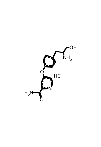 Cl.NC(=O)c1cc(Oc2ccc(C[C@H](N)CO)cc2)ccn1